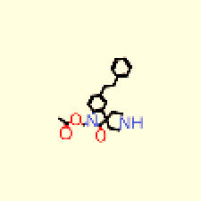 CC(=O)OCN1C(=O)C2(CCNCC2)c2cc(CCc3ccccc3)ccc21